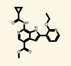 CCOc1ncccc1-c1cc2c(C(=O)OC)cnc(NC(=O)C3CC3)c2[nH]1